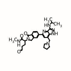 CNC(=O)C(CCC=O)N1Cc2cc(-c3cc(CN4CCCC4)c4[nH]nc(NC(C)C)c4n3)ccc2C1=O